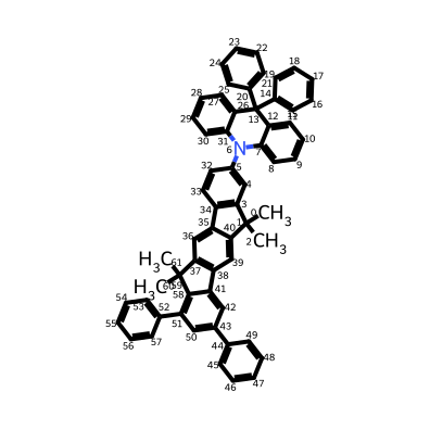 CC1(C)c2cc(N3c4ccccc4C(c4ccccc4)(c4ccccc4)c4ccccc43)ccc2-c2cc3c(cc21)-c1cc(-c2ccccc2)cc(-c2ccccc2)c1C3(C)C